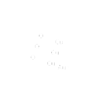 [Au+3].[O]=[Cu-].[O]=[Cu-].[O]=[Cu-]